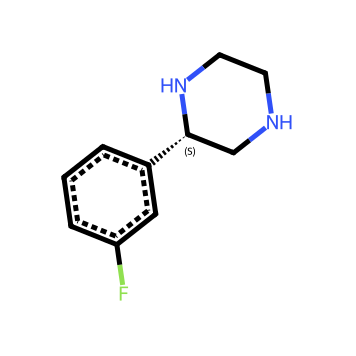 Fc1cccc([C@H]2CNCCN2)c1